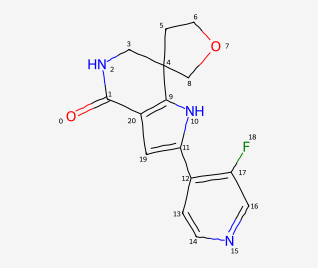 O=C1NCC2(CCOC2)c2[nH]c(-c3ccncc3F)cc21